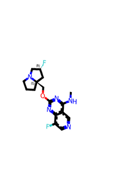 CNc1nc(OC[C@@]23CCCN2C[C@H](F)C3)nc2c(F)cncc12